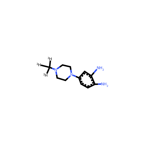 [2H]C([2H])([2H])N1CCN(c2ccc(N)c(N)c2)CC1